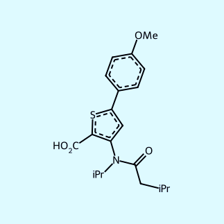 COc1ccc(-c2cc(N(C(=O)CC(C)C)C(C)C)c(C(=O)O)s2)cc1